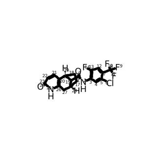 O=C(Nc1cc(Cl)c(C(F)(F)F)cc1F)C1[C@@H]2CC[C@@H]1c1ccc(=O)[nH]c1C2